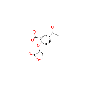 CC(=O)c1ccc(OC2CCOC2=O)c(C(=O)O)c1